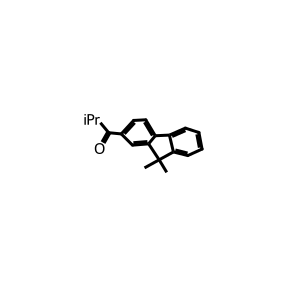 CC(C)C(=O)c1ccc2c(c1)C(C)(C)c1ccccc1-2